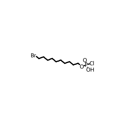 O=P(O)(Cl)OCCCCCCCCCCBr